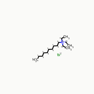 CCCCCCCCCC[N+](CC)(CC)CC.[Br-]